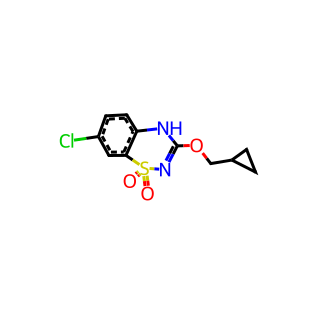 O=S1(=O)N=C(OCC2CC2)Nc2ccc(Cl)cc21